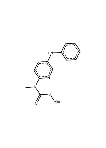 CN(C(=O)OC(C)(C)C)c1ccc(Nc2ccccc2)cn1